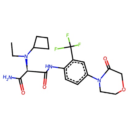 CCN(C1CCC1)[C@H](C(N)=O)C(=O)Nc1ccc(N2CCOCC2=O)cc1C(F)(F)F